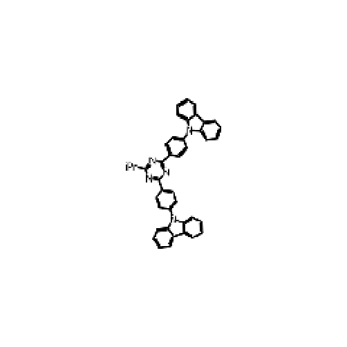 CC(C)c1nc(-c2ccc(-n3c4ccccc4c4ccccc43)cc2)nc(-c2ccc(-n3c4ccccc4c4ccccc43)cc2)n1